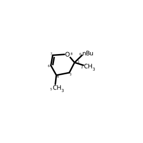 CCCCC1(C)CC(C)C=CO1